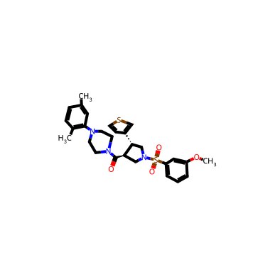 COc1cccc(S(=O)(=O)N2C[C@@H](C(=O)N3CCN(c4cc(C)ccc4C)CC3)[C@H](c3ccsc3)C2)c1